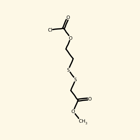 COC(=O)CSSCCOC(=O)Cl